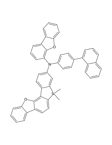 C[Si]1(C)c2cc(N(c3ccc(-c4cccc5ccccc45)cc3)c3cccc4c3oc3ccccc34)ccc2-c2c1ccc1c2oc2ccccc21